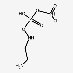 NCCNOP(=O)(O)O[PH](=O)Cl